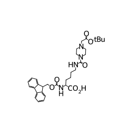 CC(C)(C)OC(=O)CN1CCN(C(=O)NCCCCC(NC(=O)OCC2c3ccccc3-c3ccccc32)C(=O)O)CC1